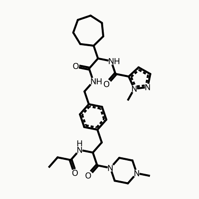 CCC(=O)NC(Cc1ccc(CNC(=O)C(NC(=O)c2ccnn2C)C2CCCCCC2)cc1)C(=O)N1CCN(C)CC1